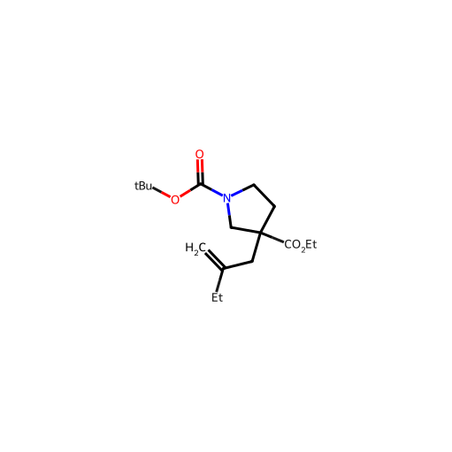 C=C(CC)CC1(C(=O)OCC)CCN(C(=O)OC(C)(C)C)C1